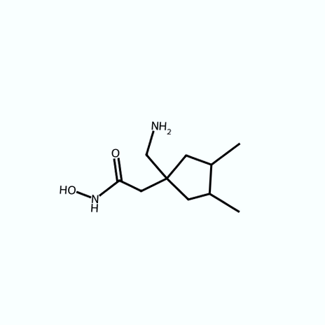 CC1CC(CN)(CC(=O)NO)CC1C